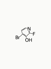 Oc1c(Br)ccnc1F